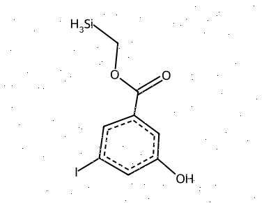 O=C(OC[SiH3])c1cc(O)cc(I)c1